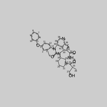 Cc1cc(Oc2ccccc2)ccc1N1C(=O)N([C@@H]2CCCN(C(=O)C(C)CO)C2)c2c(C(N)=O)sc3nccc1c23